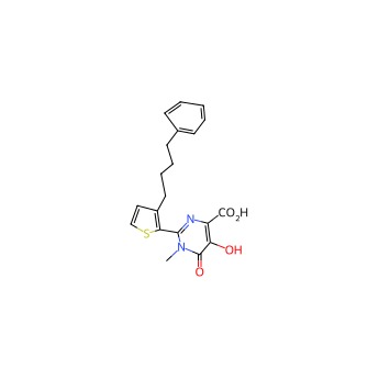 Cn1c(-c2sccc2CCCCc2ccccc2)nc(C(=O)O)c(O)c1=O